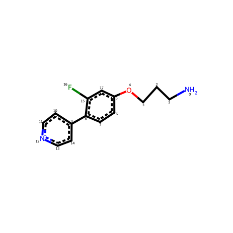 NCCCOc1ccc(-c2ccncc2)c(F)c1